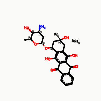 CC(=O)[C@]1(O)Cc2c(O)c3c(c(O)c2[C@@H](O[C@H]2C[C@H](N)[C@H](O)[C@H](C)O2)C1)C(=O)c1ccccc1C3=O.[AsH3]